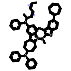 C/C=C\C=C/C(C)N(c1ccccc1)c1ccc2c(c1)c1c(n2N(C)c2oc3ccc(C4=CC=C=CC=C4)cc3c2N)C=CC(N(c2ccccc2)c2ccccc2)C=C1